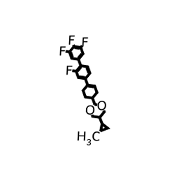 CC1CC1C1COC(C2CC=C(c3ccc(-c4cc(F)c(F)c(F)c4)c(F)c3)CC2)OC1